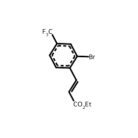 CCOC(=O)/C=C/c1ccc(C(F)(F)F)cc1Br